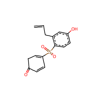 C=CCc1cc(O)ccc1S(=O)(=O)C1=CCC(=O)C=C1